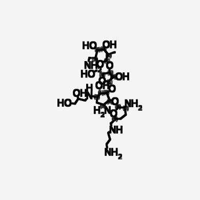 C[C@H]1[C@@H](O[C@H]2[C@@H](O)[C@H](O[C@@H]3[C@@H](O)[C@H](NCC(O)CO)C[C@H](N)[C@H]3O[C@H]3O[C@H](CNCCCN)CC[C@H]3N)O[C@@H]2CO)O[C@@H](CN)[C@@H](O)[C@@H]1O